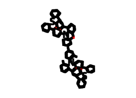 Cc1cc(-c2ccc(N(c3ccc(-c4ccccc4)cc3)c3c(C)cccc3-c3ccc4sc5ccccc5c4c3)c(C)c2)ccc1N(c1ccc(-c2ccccc2)cc1)c1c(C)cccc1-c1ccc2sc3ccccc3c2c1